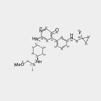 COC[C@@H](C)N[C@H]1CC[C@H](Nc2cc(-c3cccc(NCC4(F)CC4)c3)c(Cl)cn2)CC1